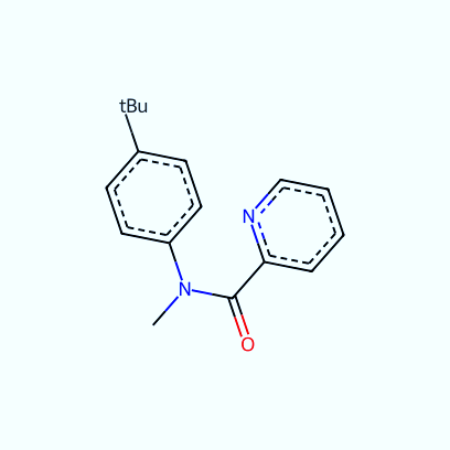 CN(C(=O)c1ccccn1)c1ccc(C(C)(C)C)cc1